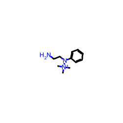 C[N+](C)(C)N(CCN)c1ccccc1